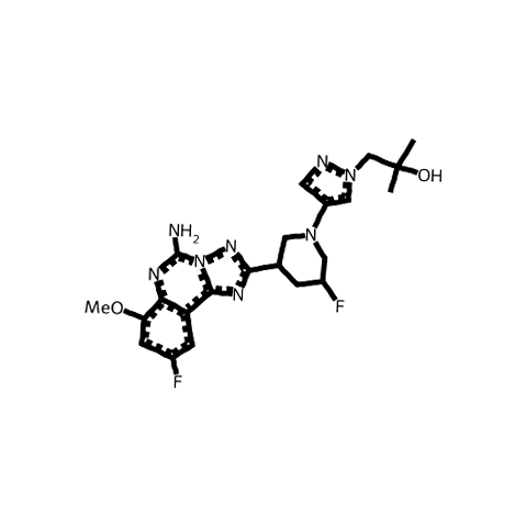 COc1cc(F)cc2c1nc(N)n1nc(C3CC(F)CN(c4cnn(CC(C)(C)O)c4)C3)nc21